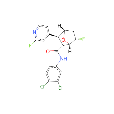 O=C(Nc1ccc(Cl)c(Cl)c1)[C@H]1[C@@H]2O[C@@H](C[C@H]2F)[C@@H]1c1ccnc(F)c1